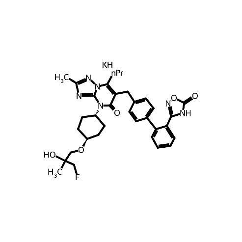 CCCc1c(Cc2ccc(-c3ccccc3-c3noc(=O)[nH]3)cc2)c(=O)n([C@H]2CC[C@H](OCC(C)(O)CF)CC2)c2nc(C)nn12.[KH]